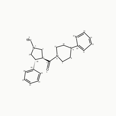 CC(C)(C)N1C[C@@H](C(=O)N2CCN(c3ccccn3)CC2)[C@H](c2ccccc2)C1